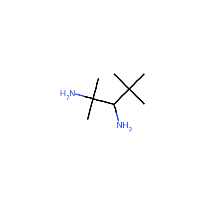 CC(C)(C)C(N)C(C)(C)N